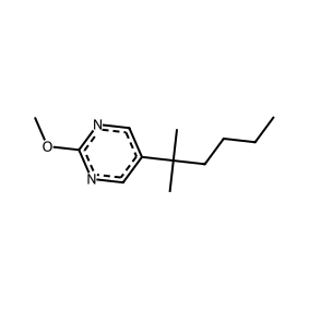 CCCCC(C)(C)c1cnc(OC)nc1